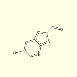 O=Cc1cc2cc(Cl)cnc2o1